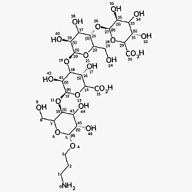 NCCCO[C@@H]1OC(CO)[C@@H](O[C@@H]2OC(C(=O)O)[C@@H](O)C(O[C@@H]3OC(CO)[C@@H](O[C@@H]4OC(C(=O)O)[C@@H](O)C(O)[C@@H]4O)C(O)[C@@H]3O)[C@@H]2O)C(O)[C@@H]1O